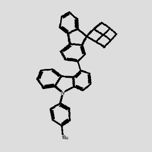 CC(C)(C)c1ccc(-n2c3ccccc3c3c(-c4ccc5c(c4)C4(c6ccccc6-5)C5CC6CC7CC4C675)cccc32)cc1